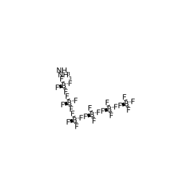 F[B-](F)(F)F.F[B-](F)(F)F.F[B-](F)(F)F.F[B-](F)(F)F.F[B-](F)(F)F.F[B-](F)(F)F.N.N